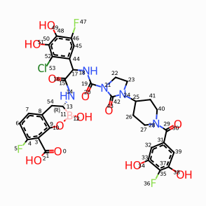 O=C(O)c1c(F)ccc2c1OB(O)[C@@H](NC(=O)C(NC(=O)N1CCN(C3CCN(C(=O)c4cc(O)c(F)c(O)c4)CC3)C1=O)c1cc(F)c(O)c(O)c1Cl)C2